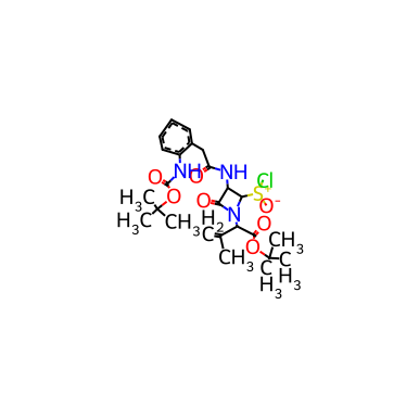 C=C(C)C(C(=O)OC(C)(C)C)N1C(=O)C(NC(=O)Cc2ccccc2NC(=O)OC(C)(C)C)C1[S+]([O-])Cl